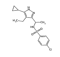 CCc1c(C(C)NS(=O)(=O)c2ccc(Cl)cc2)n[nH]c1C1CC1